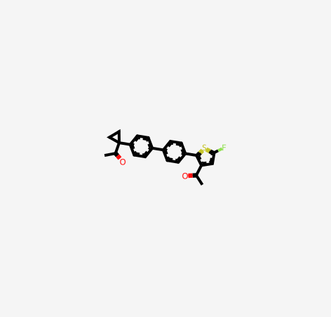 CC(=O)c1cc(F)sc1-c1ccc(-c2ccc(C3(C(C)=O)CC3)cc2)cc1